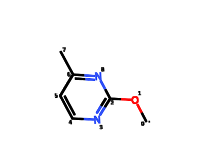 [CH2]Oc1nccc(C)n1